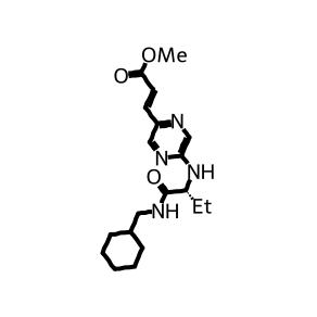 CC[C@@H](Nc1cnc(/C=C/C(=O)OC)cn1)C(=O)NCC1CCCCC1